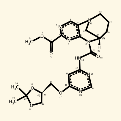 COC(=O)c1ncc2c(n1)N(C(=O)Nc1cc(OC[C@H]3COC(C)(C)O3)ncn1)[C@H]1CCCN2C1